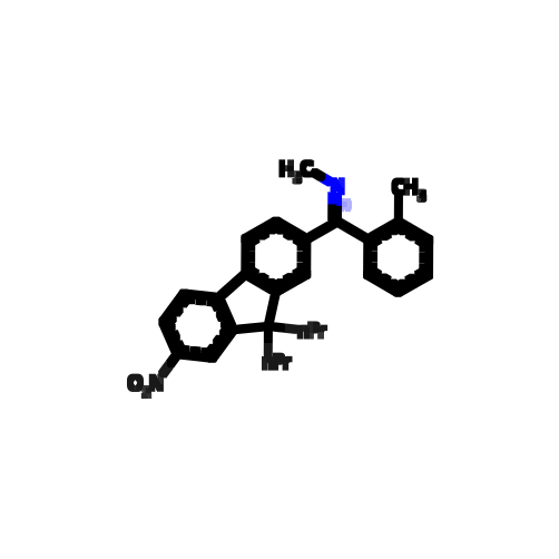 CCCC1(CCC)c2cc(/C(=N\C)c3ccccc3C)ccc2-c2ccc([N+](=O)[O-])cc21